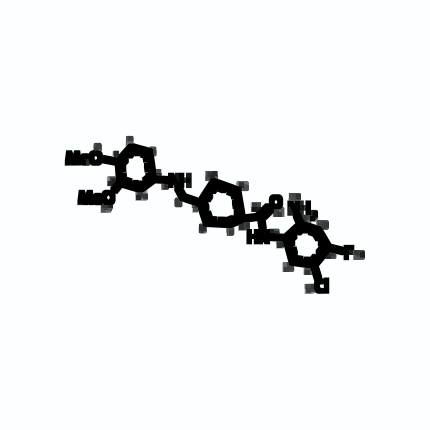 COc1ccc(NCc2ccc(C(=O)Nc3cc(Cl)c(F)cc3N)cc2)cc1OC